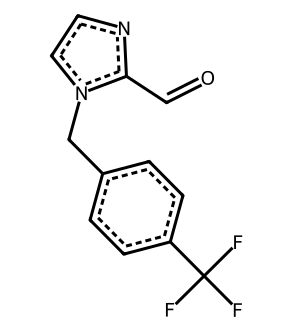 O=Cc1nccn1Cc1ccc(C(F)(F)F)cc1